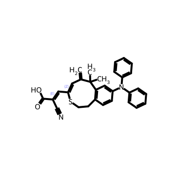 C=C1/C=C(/C=C(\C#N)C(=O)O)SCCc2ccc(N(c3ccccc3)c3ccccc3)cc2C1(C)C